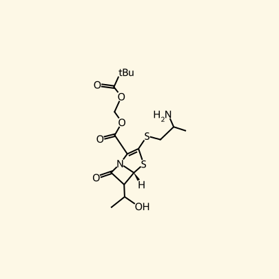 CC(N)CSC1=C(C(=O)OCOC(=O)C(C)(C)C)N2C(=O)C(C(C)O)[C@H]2S1